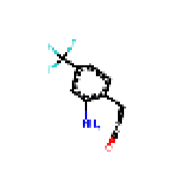 Nc1cc(C(F)(F)F)ccc1C=C=O